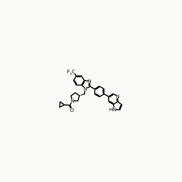 O=C(C1CC1)N1CC[C@@H](Cn2c(-c3ccc(-c4cnc5cc[nH]c5c4)cc3)nc3cc(C(F)(F)F)ccc32)C1